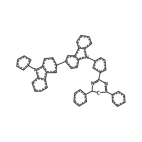 c1ccc(C2=NC(c3cccc(-n4c5ccccc5c5cc(-c6ccc7c(c6)c6ccccc6n7-c6ccccc6)ccc54)c3)=NC(c3ccccc3)C2)cc1